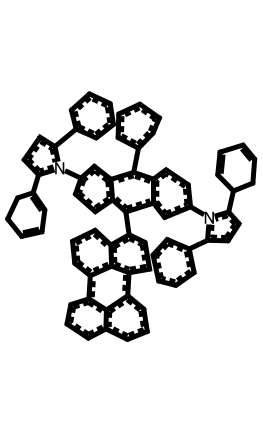 C1=CCCC(c2ccc(-c3ccccc3)n2-c2ccc3c(-c4ccc5c6cccc7cccc(c8cccc4c85)c76)c4cc(-n5c(-c6ccccc6)ccc5C5C=CC=CC5)ccc4c(-c4ccccc4)c3c2)=C1